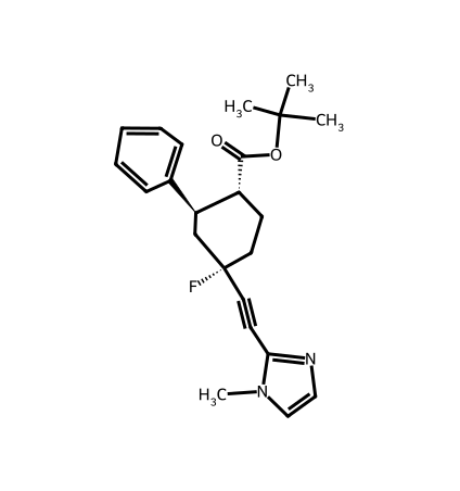 Cn1ccnc1C#C[C@]1(F)CC[C@@H](C(=O)OC(C)(C)C)[C@H](c2ccccc2)C1